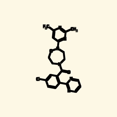 Cc1nc(N2CCN(C(=O)c3cc(Cl)ccc3-c3ncccn3)CCO2)cc(C(F)(F)F)n1